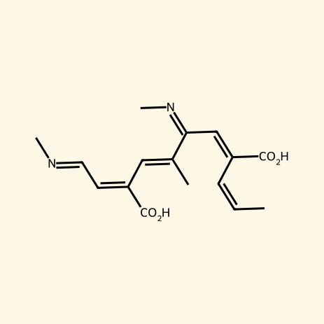 C\C=C/C(=C\C(=N\C)C(\C)=C\C(=C/C=N/C)C(=O)O)C(=O)O